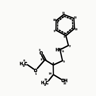 COC(=O)C(CNCc1ccccc1)C(C)O